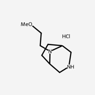 COCCN1C2CCC1CNC2.Cl